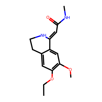 CCOc1cc2c(cc1OC)/C(=C/C(=O)NC)NCC2